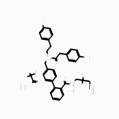 CC(C)(CN)CNC(=O)c1ccccc1-c1ccc(CN(CCc2ccc(O)cc2)C(=O)Cc2ccc(Br)cc2)cc1.O=C(O)C(F)(F)F